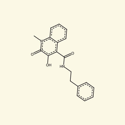 Cn1c(=O)c(O)c(C(=O)NCCc2ccccc2)c2ccccc21